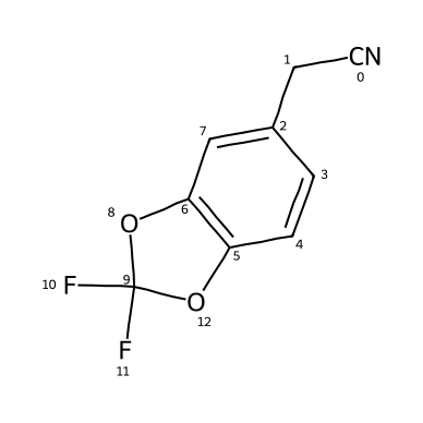 N#[14C]Cc1ccc2c(c1)OC(F)(F)O2